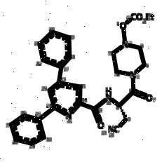 CCOC(=O)ON1CCN(C(=O)[C@H](CC#N)NC(=O)c2cc(-c3ccccc3)cc(-c3ccccc3)n2)CC1